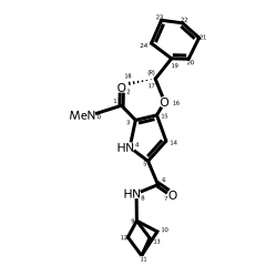 CNC(=O)c1[nH]c(C(=O)NC23CC(C2)C3)cc1O[C@H](C)c1ccccc1